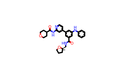 O=C(NC[C@H]1CCCO1)c1cc(Nc2ccccc2)cc(-c2ccnc(NC(=O)C3CCOCC3)c2)c1